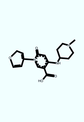 CN1CCC(Nc2cc(=O)n(C3=CCOC=C3)cc2C(=O)O)CC1